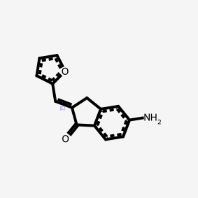 Nc1ccc2c(c1)C/C(=C\c1ccco1)C2=O